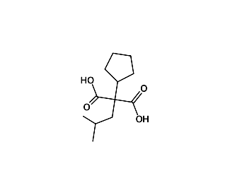 CC(C)CC(C(=O)O)(C(=O)O)C1CCCC1